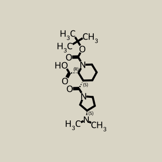 CN(C)[C@H]1CCN(C(=O)[C@H]2CCCN(C(=O)OC(C)(C)C)[C@H]2C(=O)O)C1